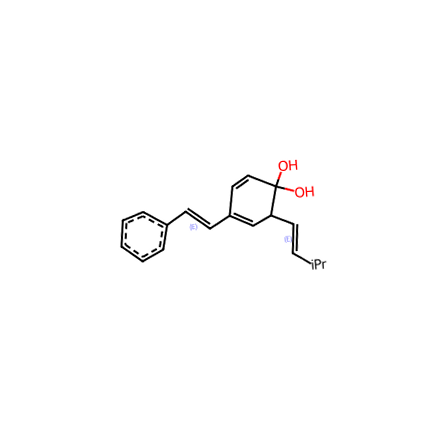 CC(C)/C=C/C1C=C(/C=C/c2ccccc2)C=CC1(O)O